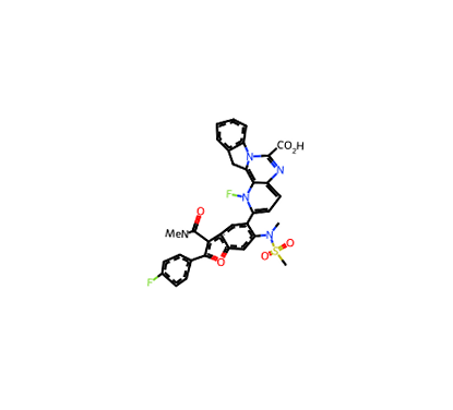 CNC(=O)c1c(-c2ccc(F)cc2)oc2cc(N(C)S(C)(=O)=O)c(C3=CC=C4N=C(C(=O)O)N5C(=C4N3F)Cc3ccccc35)cc12